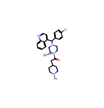 CC(=O)N1CCC(CC(=O)N2CCN(C(c3ccc(Cl)cc3)c3ccnc4ccccc34)C[C@@H]2C(C)C)CC1